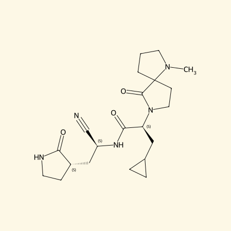 CN1CCCC12CCN([C@@H](CC1CC1)C(=O)N[C@H](C#N)C[C@@H]1CCNC1=O)C2=O